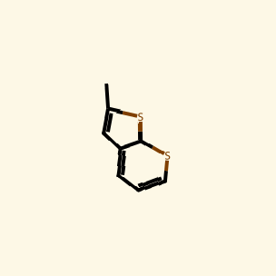 CC1=CC2=CC=CSC2S1